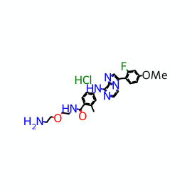 COc1ccc(-c2cnc3c(Nc4ccc(C(=O)NCCOCCN)c(C)c4)nccn23)c(F)c1.Cl